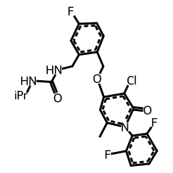 Cc1cc(OCc2ccc(F)cc2CNC(=O)NC(C)C)c(Cl)c(=O)n1-c1c(F)cccc1F